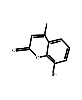 Cc1cc(=O)oc2c(C(C)C)cccc12